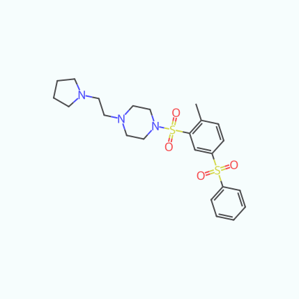 Cc1ccc(S(=O)(=O)c2ccccc2)cc1S(=O)(=O)N1CCN(CCN2CCCC2)CC1